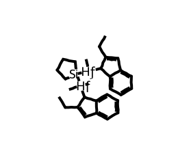 CCC1=Cc2ccccc2[CH]1[Hf]([CH3])([CH3])[Si]1([Hf]([CH3])([CH3])[CH]2C(CC)=Cc3ccccc32)CCCC1